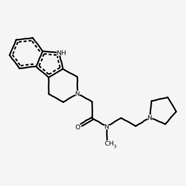 CN(CCN1CCCC1)C(=O)CN1CCc2c([nH]c3ccccc23)C1